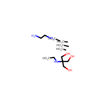 CC(=O)O.CC(=O)O.CC(=O)O.CC(=O)O.NCCN.O=C(O)CNC(CO)(CO)CO